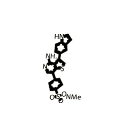 CNOS(=O)(=O)c1ccc(-c2cnc(N)c3c(-c4ccc5[nH]ccc5c4)csc23)cc1